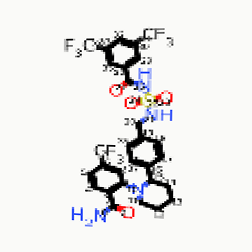 NC(=O)c1ccc(C(F)(F)F)cc1N1CCCCC1c1ccc(CNS(=O)(=O)NC(=O)c2cc(C(F)(F)F)cc(C(F)(F)F)c2)cc1